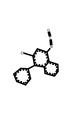 O=C=Nc1cc(Cl)c(-c2ccccc2)c2ccccc12